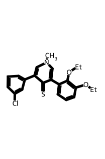 CCOc1cccc(-c2cn(C)cc(-c3cccc(Cl)c3)c2=S)c1OCC